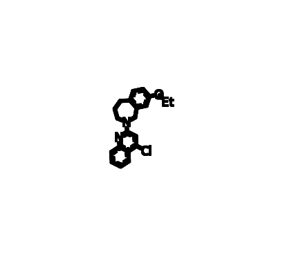 CCOc1ccc2c(c1)CN(c1cc(Cl)c3ccccc3n1)CCC2